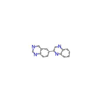 c1ccc2nc(-c3ccc4ncncc4c3)cnc2c1